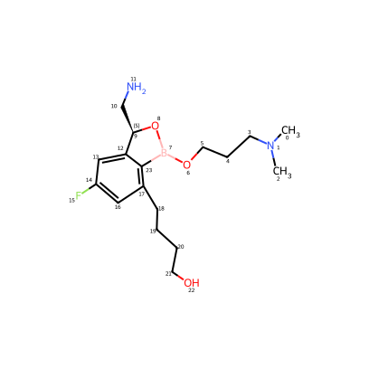 CN(C)CCCOB1O[C@H](CN)c2cc(F)cc(CCCCO)c21